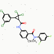 CN(C(=O)c1cc(NC(=O)C2C(c3cc(Cl)cc(Cl)c3)C2(Cl)Cl)ccc1C#N)c1ccc(F)cc1F